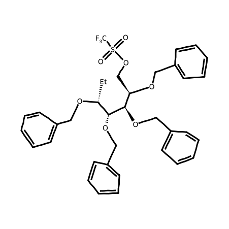 CC[C@@H](OCc1ccccc1)[C@@H](OCc1ccccc1)[C@H](OCc1ccccc1)[C@@H](COS(=O)(=O)C(F)(F)F)OCc1ccccc1